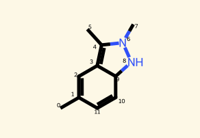 CC1=CC2=C(C)N(C)NC2C=C1